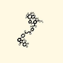 COc1cc(C(=O)N[C@H]2CCN(C(=O)CCC(=O)N3CCN(c4cccc5c4C(=O)N(C4CCC(=O)NC4=O)C5=O)CC3)C2)c(F)cc1Nc1ncc2c(n1)N(C1CCCC1)CC(F)(F)C(=O)N2C